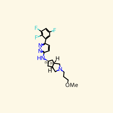 COCCCN1C[C@H]2C[C@H](Nc3ccc(-c4cc(F)cc(F)c4F)nn3)C[C@H]2C1